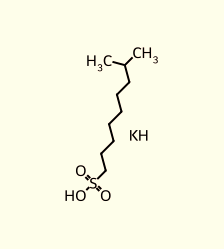 CC(C)CCCCCCCS(=O)(=O)O.[KH]